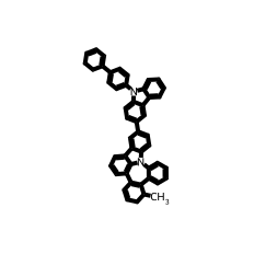 CC1CC=CC2=C1c1ccccc1-n1c3ccc(-c4ccc5c(c4)c4ccccc4n5-c4ccc(C5=CC=CCC5)cc4)cc3c3cccc2c31